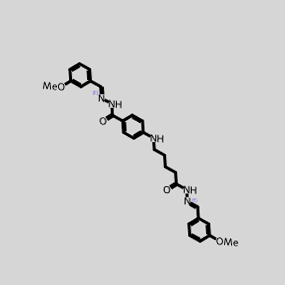 COc1cccc(/C=N/NC(=O)CCCCNc2ccc(C(=O)N/N=C/c3cccc(OC)c3)cc2)c1